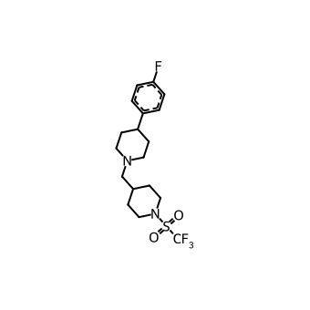 O=S(=O)(N1CCC(CN2CCC(c3ccc(F)cc3)CC2)CC1)C(F)(F)F